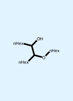 CCCCCCOC(CCCCCC)C(O)CCCCCC